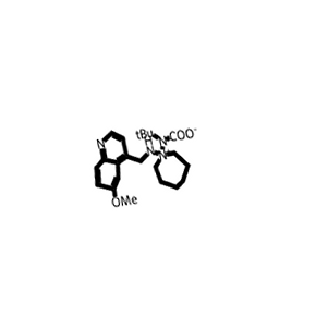 COc1ccc2nccc(CN[N+]3(N(C(=O)[O-])C(C)(C)C)CCCCCC3)c2c1